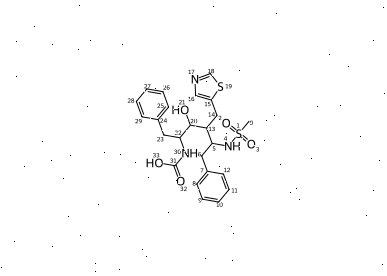 CS(=O)(=O)NC(Cc1ccccc1)C(Cc1cncs1)C(O)C(Cc1ccccc1)NC(=O)O